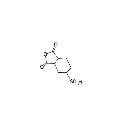 O=C1OC(=O)C2CC(S(=O)(=O)O)CCC12